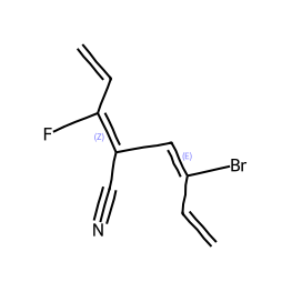 C=C/C(F)=C(C#N)\C=C(\Br)C=C